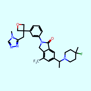 CC(c1cc2c(c(C(F)(F)F)c1)CN(c1cccc(C3(Cc4nncn4C)COC3)c1)C2=O)N1CCC(C)(F)CC1